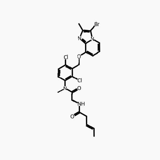 CC=CCC(=O)NCC(=O)N(C)c1ccc(Cl)c(COc2cccn3c(Br)c(C)nc23)c1Cl